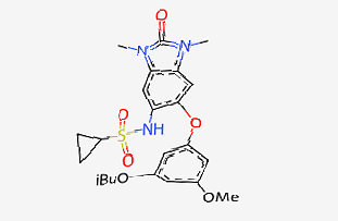 COc1cc(OCC(C)C)cc(Oc2cc3c(cc2NS(=O)(=O)C2CC2)n(C)c(=O)n3C)c1